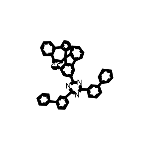 c1ccc(-c2cccc(-c3nc(-c4cccc(-c5ccccc5)c4)nc(-c4ccc5c(c4)-c4ccccc4C54c5ccccc5-c5ccccc5-c5ccccc54)n3)c2)cc1